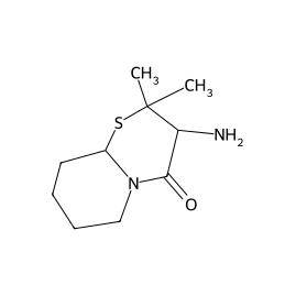 CC1(C)SC2CCCCN2C(=O)C1N